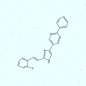 Fc1ccccc1/C=C/c1nc(-c2cnc(-c3ccccc3)nc2)c[nH]1